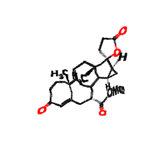 COC(=O)[C@@H]1CC2=CC(=O)CC[C@]2(C)C2=CC[C@@]3(C)C(C21)[C@@H]1C[C@@H]1[C@@]31CCC(=O)O1